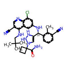 Cc1c(C#N)cccc1[C@H](Nc1cc(Cl)c2ncc(C#N)c(NCC(C)(C)C)c2c1)C1=CN(C2(C(N)=O)CCC2)NN1